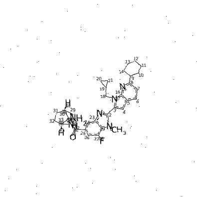 Cn1c(-c2cc3ccc(C4CCCCC4)nc3n2CC2CC2)nc2cc(C(=O)N3C[C@H]4CC[C@@H]3[C@@H]4N)cc(F)c21